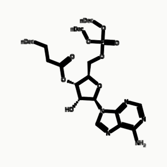 CCCCCCCCCCCCC(=O)O[C@H]1[C@@H](O)[C@H](n2cnc3c(N)ncnc32)O[C@@H]1COP(=O)(OCCCCCCCCCC)OCCCCCCCCCC